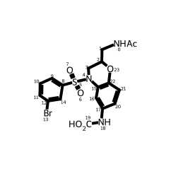 CC(=O)NCC1CN(S(=O)(=O)c2cccc(Br)c2)c2cc(NC(=O)O)ccc2O1